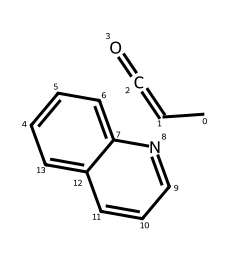 CC=C=O.c1ccc2ncccc2c1